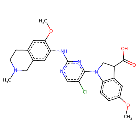 COc1ccc2c(c1)C(C(=O)O)CN2c1nc(Nc2cc3c(cc2OC)CCN(C)C3)ncc1Cl